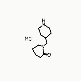 Cl.O=C1CCCCN1CC1CCNCC1